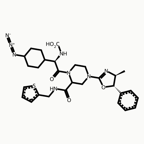 C[C@@H]1N=C(N2CCN(C(=O)[C@H](NC(=O)O)C3CCC(N=[N+]=[N-])CC3)C(C(=O)NCc3cccs3)C2)O[C@H]1c1ccccc1